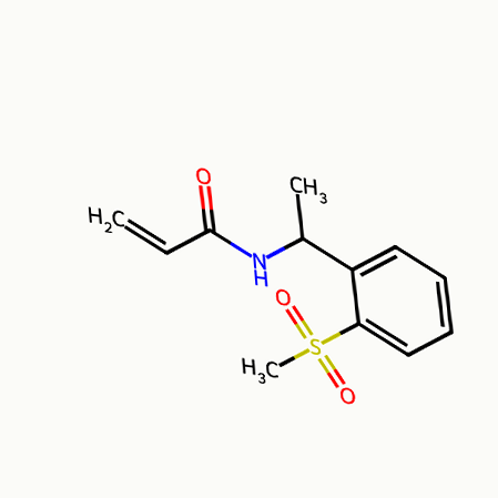 C=CC(=O)NC(C)c1ccccc1S(C)(=O)=O